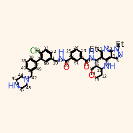 CCc1nc2c(cnn2CC)c(NC2CCOCC2)c1CNC(=O)c1cccc(C(=O)NCc2ccc(Cl)c(-c3cccc(CN4CCNCC4)c3)c2)c1